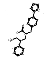 CCC(C[C@H](Oc1ccc(-c2ccco2)cc1)C(=O)O)c1ccccc1